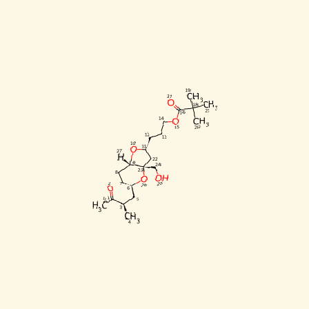 CC(=O)[C@H](C)C[C@H]1CC[C@@H]2O[C@@H](CCCOC(=O)C(C)(C)C)C[C@]2(CO)O1